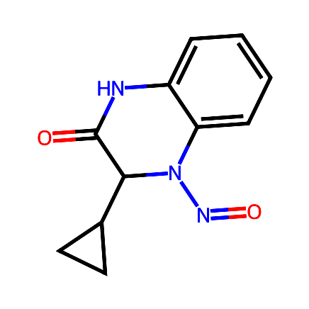 O=NN1c2ccccc2NC(=O)C1C1CC1